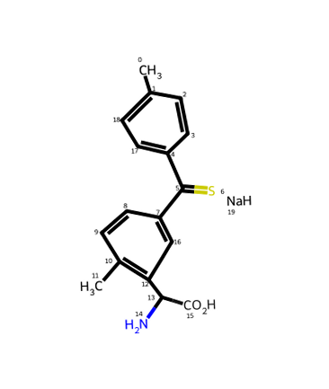 Cc1ccc(C(=S)c2ccc(C)c(C(N)C(=O)O)c2)cc1.[NaH]